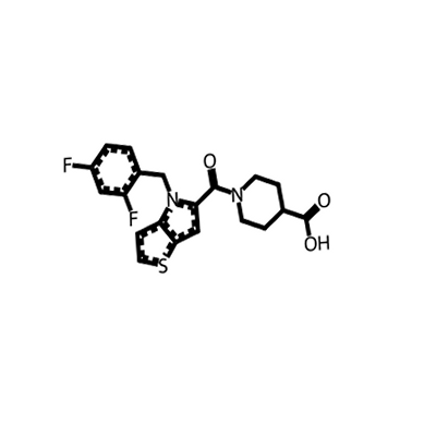 O=C(O)C1CCN(C(=O)c2cc3sccc3n2Cc2ccc(F)cc2F)CC1